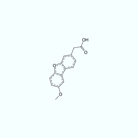 COc1ccc2oc3cc(CC(=O)O)ccc3c2c1